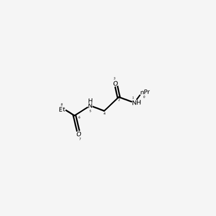 CCCNC(=O)CNC(=O)CC